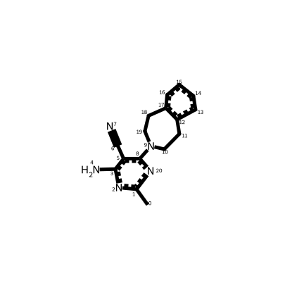 Cc1nc(N)c(C#N)c(N2CCc3ccccc3CC2)n1